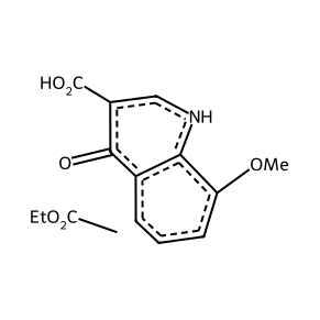 CCOC(C)=O.COc1cccc2c(=O)c(C(=O)O)c[nH]c12